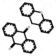 O=C1c2ccccc2C(=O)c2ccccc21.c1ccc2c(c1)Cc1ccccc1O2